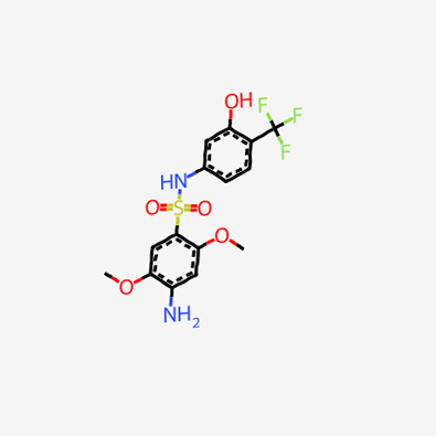 COc1cc(S(=O)(=O)Nc2ccc(C(F)(F)F)c(O)c2)c(OC)cc1N